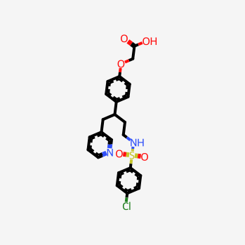 O=C(O)COc1ccc(C(CCNS(=O)(=O)c2ccc(Cl)cc2)Cc2cccnc2)cc1